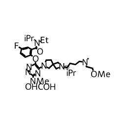 CCN(C(=O)c1cc(F)ccc1Oc1nnc(NC)nc1N1CCC2(C1)CN([C@H](CCCN(C)CCOC)C(C)C)C2)C(C)C.O=CO